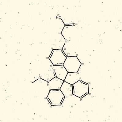 CONC(=O)C(c1ccccc1)(c1ccccc1)C1CCCc2c(OCC(=O)O)cccc21